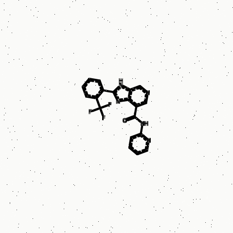 O=C(Nc1ccccn1)c1cncc2[nH]c(-c3ccccc3C(F)(F)F)nc12